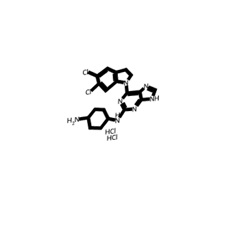 Cl.Cl.NC1CCC(Nc2nc(N3CCc4cc(Cl)c(Cl)cc43)c3nc[nH]c3n2)CC1